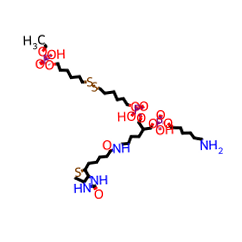 CCOP(=O)(O)OCCCCCCSSCCCCCCOP(=O)(O)OCC(CCCCNC(=O)CCCCC1SCC2NC(=O)NC21)COP(=O)(O)OCCCCCCN